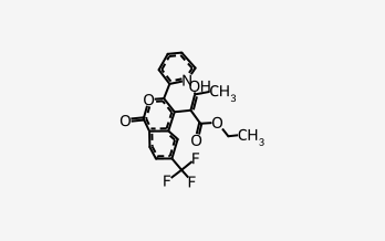 CCOC(=O)/C(=C(\C)O)c1c(-c2ccccn2)oc(=O)c2ccc(C(F)(F)F)cc12